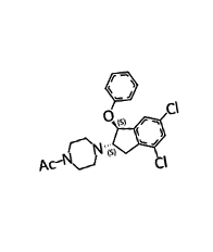 CC(=O)N1CCN([C@H]2Cc3c(Cl)cc(Cl)cc3[C@@H]2Oc2ccccc2)CC1